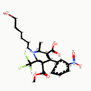 COC(=O)C1=C(C(F)(F)F)N(CCCCCCBr)C(C)C(C(=O)O)=C1c1cccc([N+](=O)[O-])c1